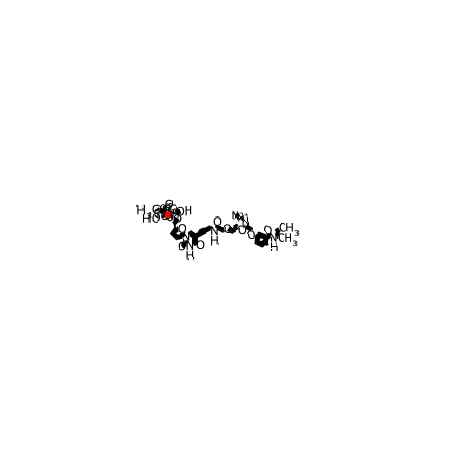 CCC(C)NC(=O)c1cccc(OCC(N=[N+]=[N-])OCCOCC(=O)NCC#Cc2cn([C@H]3CC[C@@H](COP(=O)(O)OP(=O)(O)OP(C)(=O)O)O3)c(=O)[nH]c2=O)c1